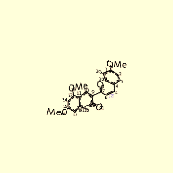 COc1ccc(/C=C\C(=O)c2cc3c(OC)cc(OC)cc3sc2=O)cc1